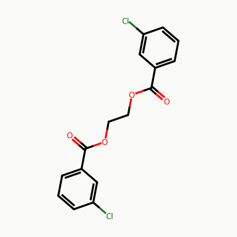 O=C(OCCOC(=O)c1cccc(Cl)c1)c1cccc(Cl)c1